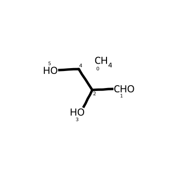 C.O=CC(O)CO